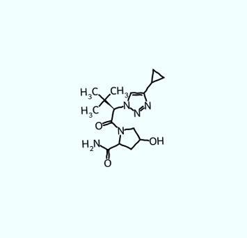 CC(C)(C)[C@H](C(=O)N1CC(O)CC1C(N)=O)n1cc(C2CC2)nn1